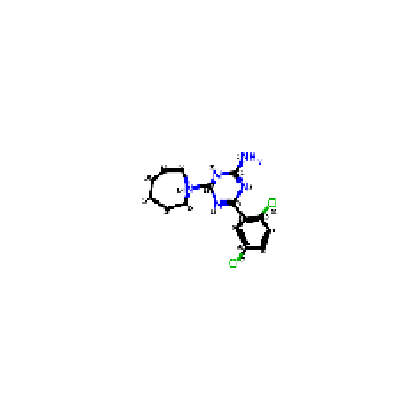 Nc1nc(-c2cc(Cl)ccc2Cl)nc(N2CCCCCC2)n1